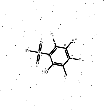 Cc1c(O)c(S(=O)(=O)C(C)C)c(F)c(F)c1F